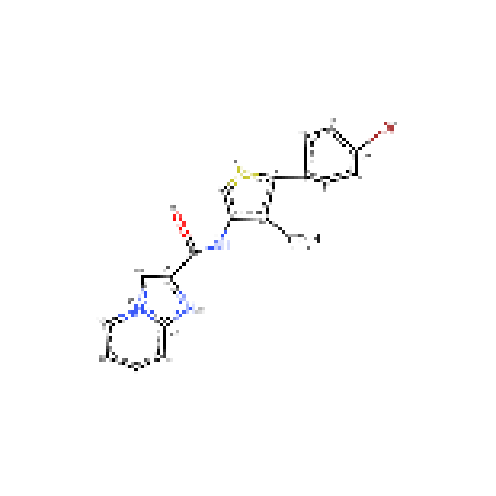 O=C(Nc1csc(-c2ccc(Br)cc2)c1C(=O)O)c1cn2ccccc2n1